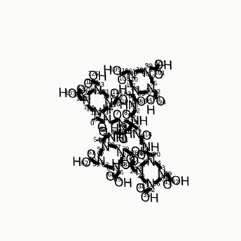 C[C@H](C(=O)NCC(=O)NCC(CNC(=O)CNC(=O)[C@@H](C)N1CCN(CC(=O)O)CCN(CC(=O)O)CCN(CC(=O)O)CC1)(CNC(=O)CNC(=O)[C@@H](C)N1CCN(CC(=O)O)CCN(CC(=O)O)CCN(CC(=O)O)CC1)NC(=O)CNC(=O)[C@@H](C)N1CCN(CC(=O)O)CCN(CC(=O)O)CCN(CC(=O)O)CC1)N1CCN(CC(=O)O)CCN(CC(=O)O)CCN(CC(=O)O)CC1